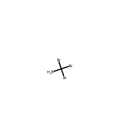 BC(Br)(Br)Br